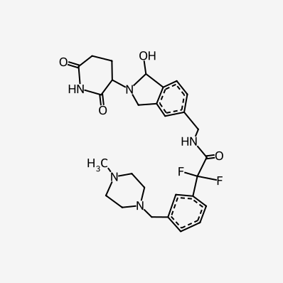 CN1CCN(Cc2cccc(C(F)(F)C(=O)NCc3ccc4c(c3)CN(C3CCC(=O)NC3=O)C4O)c2)CC1